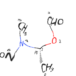 C[C@@H](OC=O)N(C)N=O